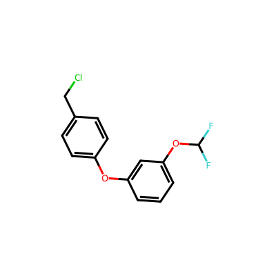 FC(F)Oc1cccc(Oc2ccc(CCl)cc2)c1